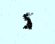 CCC(C(=O)[C@@H](C)[C@@H](O)[C@H](C)[C@@H]1O[C@@H]([C@@H](CC)C(=O)O)CC[C@@H]1C)[C@H]1O[C@]2(C=C[C@@H](NC(=S)Nc3ccc(F)cc3)[C@]3(CC[C@@](C)([C@H]4CC[C@](O)(CC)[C@H](C)O4)O3)O2)[C@H](C)C[C@@H]1C